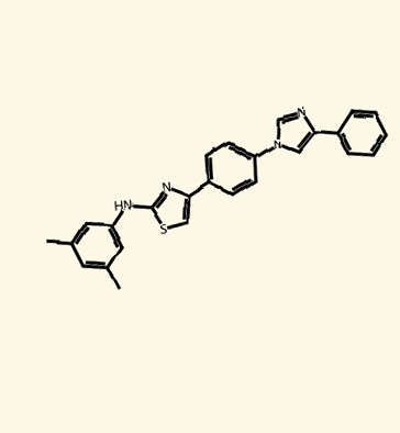 Cc1cc(C)cc(Nc2nc(-c3ccc(-n4cnc(-c5ccccc5)c4)cc3)cs2)c1